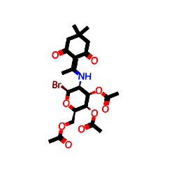 CC(=O)OC[C@H]1O[C@@H](Br)[C@H](NC(C)=C2C(=O)CC(C)(C)CC2=O)[C@@H](OC(C)=O)[C@@H]1OC(C)=O